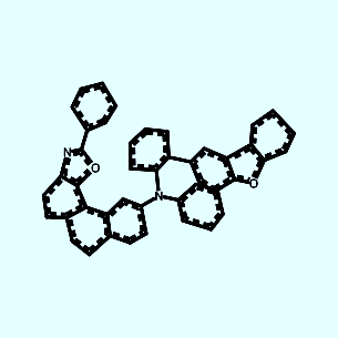 c1ccc(-c2nc3ccc4ccc5ccc(N(c6ccccc6)c6ccccc6-c6ccc7oc8ccccc8c7c6)cc5c4c3o2)cc1